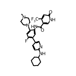 CN1CCN(c2cc(F)c(-c3ccc(NC4CCCCC4)nc3)cc2NC(=O)c2c[nH]c(=O)cc2C(F)(F)F)CC1